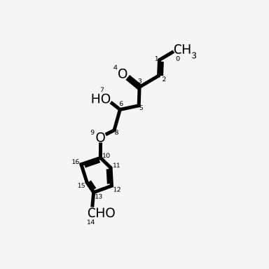 CC=CC(=O)CC(O)COc1ccc(C=O)cc1